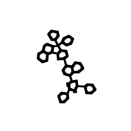 c1ccc(-c2cc(-c3ccc(-c4ccc5c(c4)-c4c(ccc6ccccc46)C5(c4ccccc4)c4ccccc4)c4ccccc34)nc(-c3ccccc3)n2)cc1